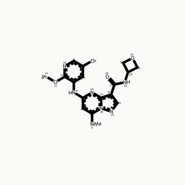 CNc1cc(Nc2cc(Cl)cnc2OC(C)C)nc2c(C(=O)NC3COC3)cnn12